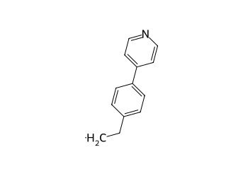 [CH2]Cc1ccc(-c2ccncc2)cc1